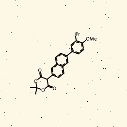 COc1ccc(-c2ccc3cc(C4C(=O)OC(C)(C)OC4=O)ccc3c2)cc1C(C)C